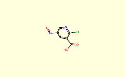 O=Nc1cnc(Cl)c(C(=O)O)c1